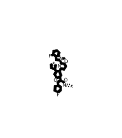 CNC(=O)c1c(-c2ccc(F)cc2)oc2cc(-c3ccsc3)c(-c3ccc4c(n3)-c3cc5c(F)cccc5n3CO4)cc12